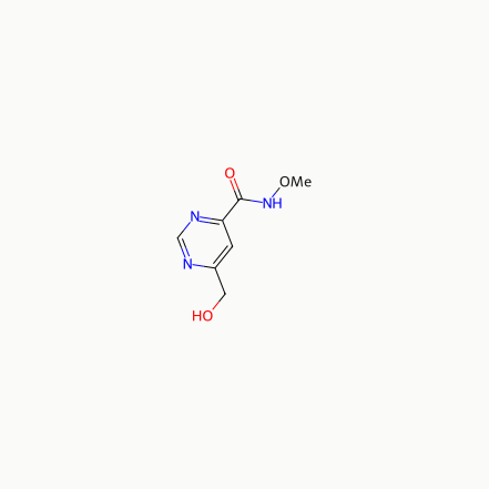 CONC(=O)c1cc(CO)ncn1